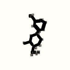 CC1CN(c2ccnc(Cl)c2)CCN1C(=O)O